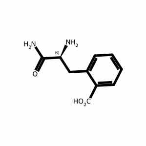 NC(=O)[C@@H](N)Cc1ccccc1C(=O)O